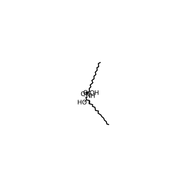 CCCCCCCCCCCCC/C=C/[C@@H](O)[C@H](CO)NC(=O)C(O)CCCCCCCCCCCCCC